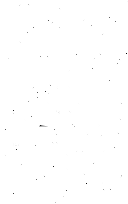 CC(C)(C)OC(=O)[C@@H]1CN(C(=O)OC(C)(C)C)C(=O)N1OC(=O)c1ccccc1